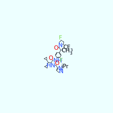 CC(C(=O)N1CC(F)CC1C(F)(F)F)c1ccc(NC(=O)C(NC(=O)c2ccnn2C(C)C)C(C2CC2)C2CC2)c(F)c1